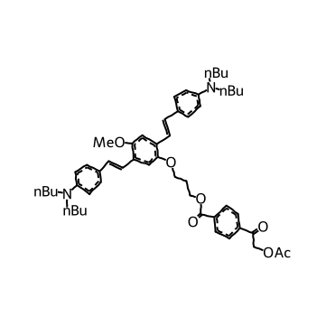 CCCCN(CCCC)c1ccc(/C=C/c2cc(OCCCOC(=O)c3ccc(C(=O)COC(C)=O)cc3)c(/C=C/c3ccc(N(CCCC)CCCC)cc3)cc2OC)cc1